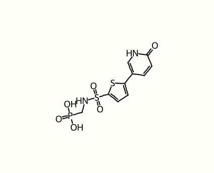 O=c1ccc(-c2ccc(S(=O)(=O)NCP(=O)(O)O)s2)c[nH]1